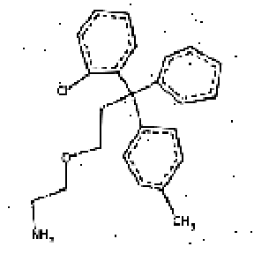 Cc1ccc(C(CCOCCN)(c2ccccc2)c2ccccc2Cl)cc1